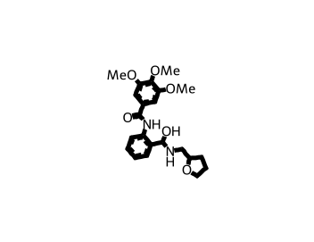 COc1cc(C(=O)Nc2ccccc2C(O)NCC2CCCO2)cc(OC)c1OC